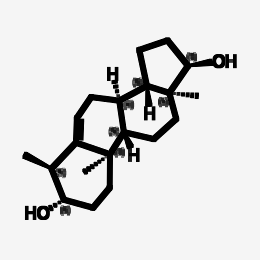 C[C@H]1C2=CC[C@H]3[C@@H]4CC[C@@H](O)[C@@]4(C)CC[C@@H]3[C@@]2(C)CC[C@@H]1O